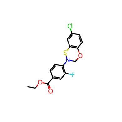 CCOC(=O)c1ccc(N2COc3ccc(Cl)cc3S2)c(F)c1